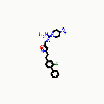 CN(C)C1CCN(C(N)=NCc2cc(CCc3ccc(-c4ccccc4)c(F)c3)no2)CC1